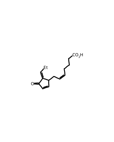 CC/C=C1/C(=O)C=CC1C/C=C\CCCC(=O)O